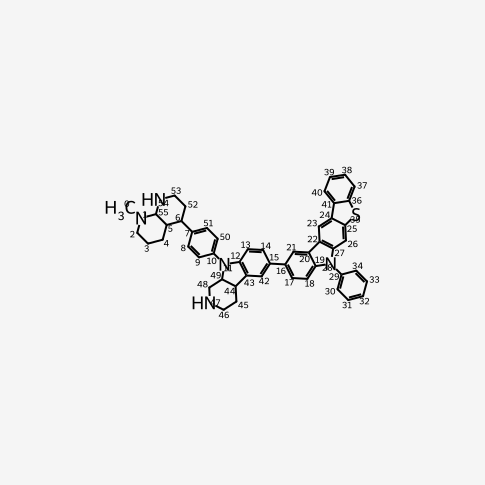 CN1CCCC2C(c3ccc(N4c5ccc(-c6ccc7c(c6)c6cc8c(cc6n7-c6ccccc6)sc6ccccc68)cc5C5CCNCC54)cc3)CCNC21